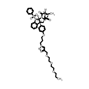 CCCOCCOCCOCc1cn(CCCOc2ccc([C@]34C[C@@]56SS[C@@H](C(=O)N5[C@H]3N(S(=O)(=O)c3ccccc3)c3ccccc34)N(C)C6=O)cc2)nn1